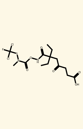 CCC(CC)(CC(=O)CCC(=O)O)C(=O)NOC(=O)N(C)SC(F)(Cl)Cl